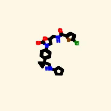 O=C(NCC1CN(c2ccc(C3(CNC4CCCC4)CC3)cc2)C(=O)O1)c1ccc(Cl)s1